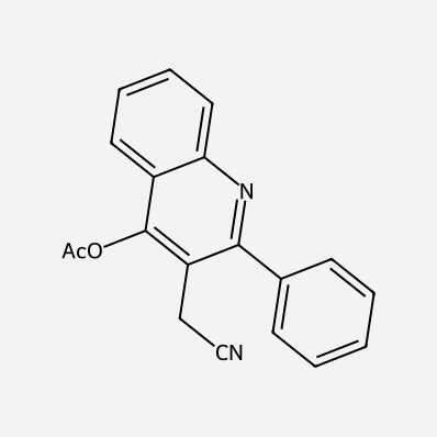 CC(=O)Oc1c(CC#N)c(-c2ccccc2)nc2ccccc12